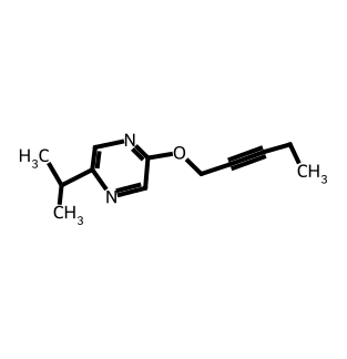 CCC#CCOc1cnc(C(C)C)cn1